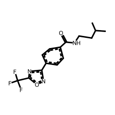 CC(C)CCNC(=O)c1ccc(-c2noc(C(F)(F)F)n2)cc1